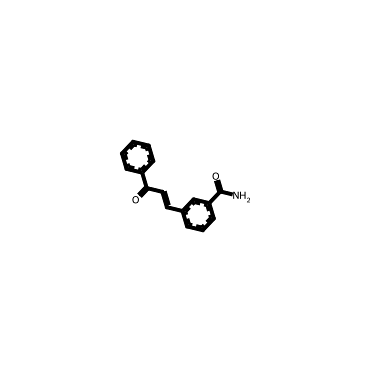 NC(=O)c1cccc(C=CC(=O)c2ccccc2)c1